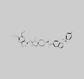 Cc1ccc(S(=O)(=O)n2ccc3cc(NC(=O)N4CCC5(CC4)CN/C(=N\C(=O)c4nc(CI)c(N)nc4N)N5)ccc32)cc1